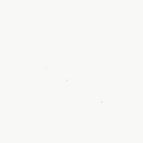 C=C(c1ccc(C(=O)NCC(=O)NC(C)(C)CCO)cc1)C(C)C